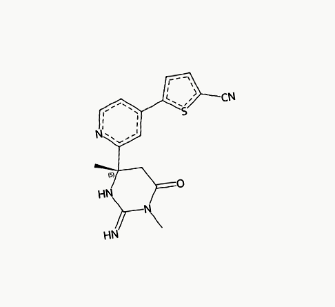 CN1C(=N)N[C@](C)(c2cc(-c3ccc(C#N)s3)ccn2)CC1=O